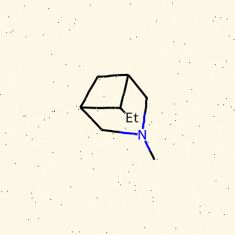 CCC1C2CC1CN(C)C2